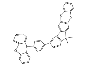 CC1(C)c2ccc(-c3ccc(N4c5ccccc5Oc5ccccc54)cc3)cc2-c2cc3c(cc21)Sc1ccccc1S3